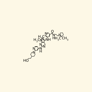 Cc1ncc(C(=O)NCCN2CCCC2(C)C)cc1Nc1nn(C)c2nc(Nc3ccnc(N4CCC(CCO)CC4)c3)ncc12